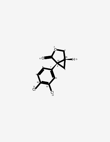 O=C1OC[C@@H]2C[C@]12c1ccc(Cl)c(Cl)c1